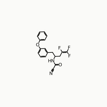 N#CC(=O)NC(CC(F)=C(F)F)Cc1cccc(Oc2ccccc2)c1